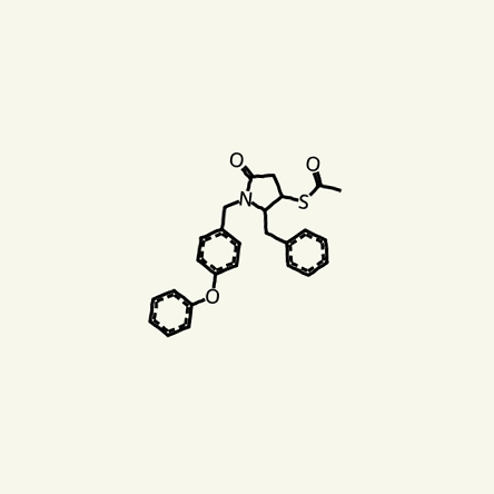 CC(=O)SC1CC(=O)N(Cc2ccc(Oc3ccccc3)cc2)C1Cc1ccccc1